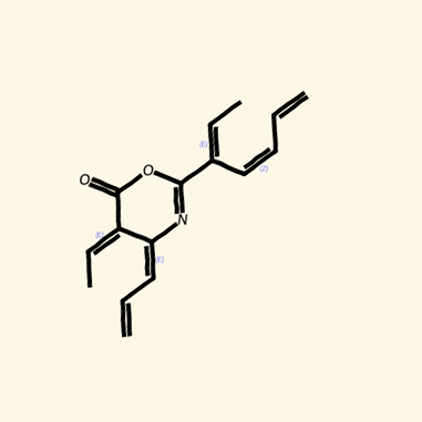 C=C/C=C\C(=C/C)c1nc(=C/C=C)/c(=C\C)c(=O)o1